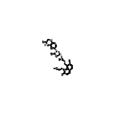 O=C1COc2ncc(N3C[C@H](CNCCc4c(F)ccc5ccc(=O)n(CCO)c45)OC3=O)nc2N1